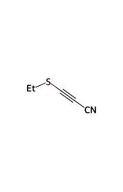 CCSC#CC#N